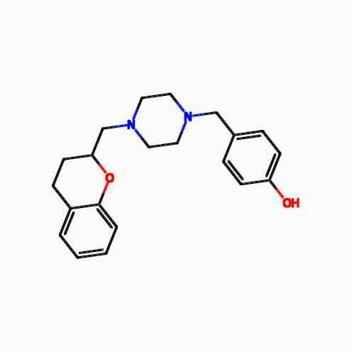 Oc1ccc(CN2CCN(CC3CCc4ccccc4O3)CC2)cc1